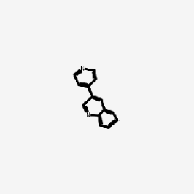 [c]1ccc2ncc(-c3ccncc3)cc2c1